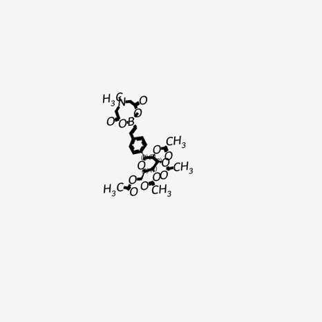 CC(=O)OC[C@H]1O[C@H](c2ccc(C=CB3OC(=O)CN(C)CC(=O)O3)cc2)[C@@H](OC(C)=O)[C@@H](OC(C)=O)[C@@H]1OC(C)=O